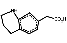 O=C(O)Cc1ccc2c(c1)NCCC2